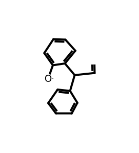 C=CC(c1ccccc1)c1ccccc1[O]